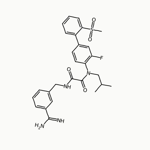 CC(C)CN(C(=O)C(=O)NCc1cccc(C(=N)N)c1)c1ccc(-c2ccccc2S(C)(=O)=O)cc1F